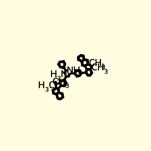 CC1(C)c2cc3ccccc3cc2-c2c(-c3ccc(/C(=C/Cc4ccc5c(c4)C(C)(C)c4ccc6ccccc6c4-5)NC(N)c4ccccc4)cc3)cccc21